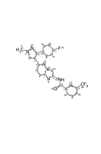 Cn1cc(-c2ccc3nc(NC(=O)c4cccc(C(F)(F)F)n4)cn3n2)c(-c2ccc(F)cc2)n1